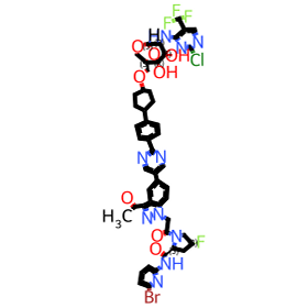 CC(=O)c1nn(CC(=O)N2C[C@H](F)C[C@H]2C(=O)Nc2cccc(Br)n2)c2ccc(-c3cnc(-c4ccc(C5CCC(OC[C@@]67CO[C@@H](O6)[C@H](Nc6nc(Cl)ncc6C(F)(F)F)[C@@H](O)[C@H]7O)CC5)cc4)nc3)cc12